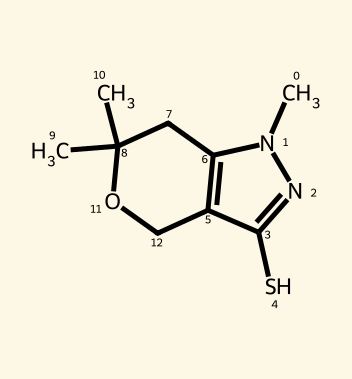 Cn1nc(S)c2c1CC(C)(C)OC2